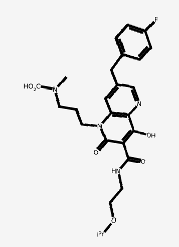 CC(C)OCCNC(=O)c1c(O)c2ncc(Cc3ccc(F)cc3)cc2n(CCCN(C)C(=O)O)c1=O